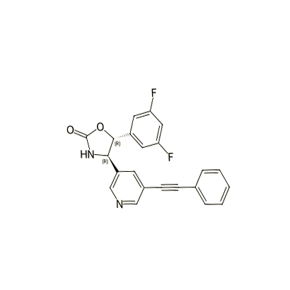 O=C1N[C@H](c2cncc(C#Cc3ccccc3)c2)[C@@H](c2cc(F)cc(F)c2)O1